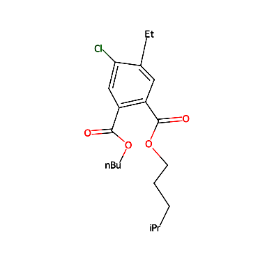 CCCCOC(=O)c1cc(Cl)c(CC)cc1C(=O)OCCCC(C)C